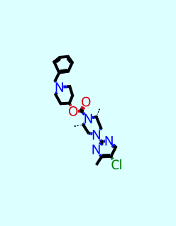 Cc1nc(N2C[C@@H](C)N(C(=O)OC3CCN(Cc4ccccc4)CC3)[C@@H](C)C2)ncc1Cl